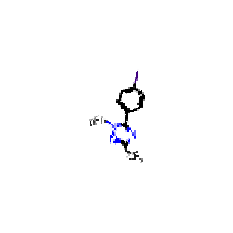 CCCn1nc(C(F)(F)F)nc1-c1ccc(I)cc1